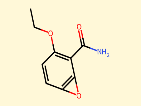 CCOc1ccc2c(c1C(N)=O)O2